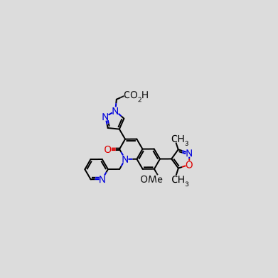 COc1cc2c(cc1-c1c(C)noc1C)cc(-c1cnn(CC(=O)O)c1)c(=O)n2Cc1ccccn1